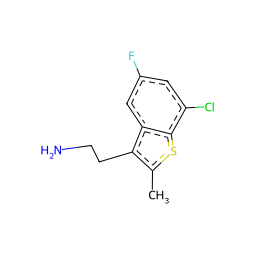 Cc1sc2c(Cl)cc(F)cc2c1CCN